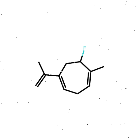 C=C(C)C1=CCC=C(C)C(F)C1